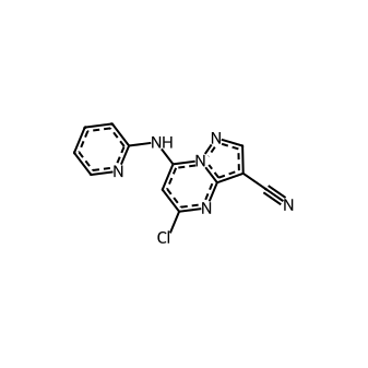 N#Cc1cnn2c(Nc3ccccn3)cc(Cl)nc12